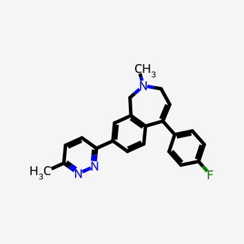 Cc1ccc(-c2ccc3c(c2)CN(C)CC=C3c2ccc(F)cc2)nn1